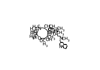 CC[C@H]1OC(=O)[C@H](C)[C@@H](O)[C@H](C)[C@@H](O[C@@H]2O[C@H](C)C[C@H](N(C)C)[C@H]2OCCCN(C)Cc2cnc3ccccc3c2)[C@](C)(O)C[C@@H](C)CN(C)[C@H](C)[C@@H](O)[C@]1(C)O